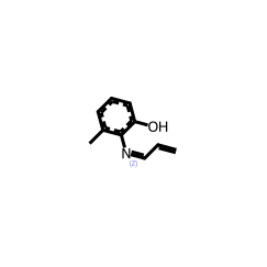 C=C/C=N\c1c(C)cccc1O